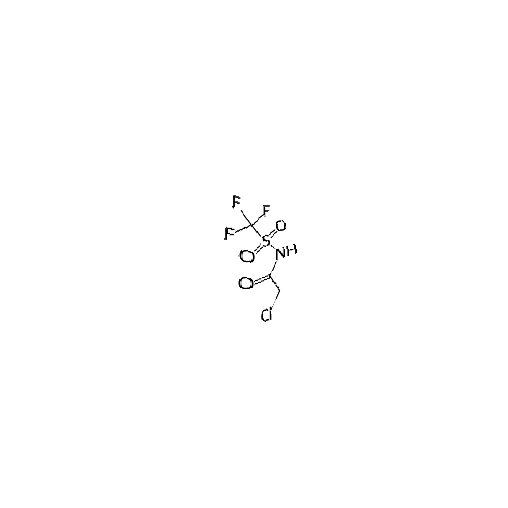 O=C(CCl)NS(=O)(=O)C(F)(F)F